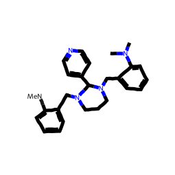 CNc1ccccc1CN1CCCN(Cc2ccccc2N(C)C)C1c1ccncc1